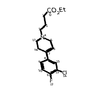 CCOC(=O)CCCN1CC=C(c2ccc(F)c(Cl)c2)CC1